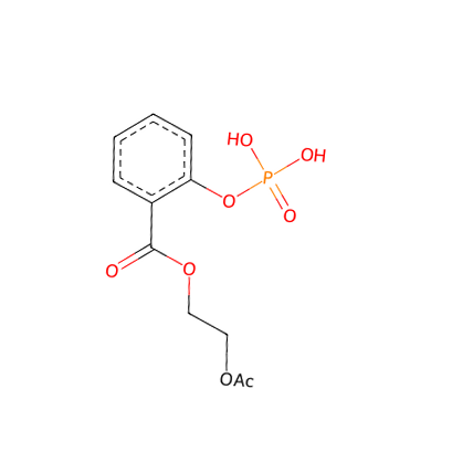 CC(=O)OCCOC(=O)c1ccccc1OP(=O)(O)O